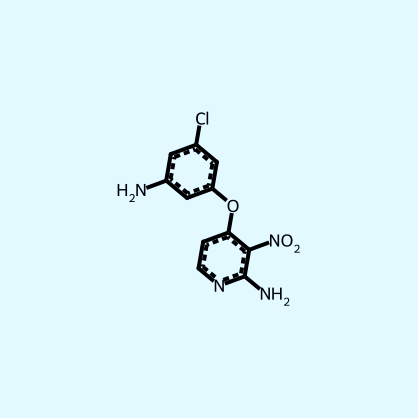 Nc1cc(Cl)cc(Oc2ccnc(N)c2[N+](=O)[O-])c1